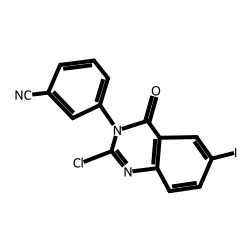 N#Cc1cccc(-n2c(Cl)nc3ccc(I)cc3c2=O)c1